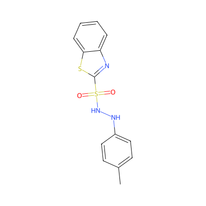 Cc1ccc(NNS(=O)(=O)c2nc3ccccc3s2)cc1